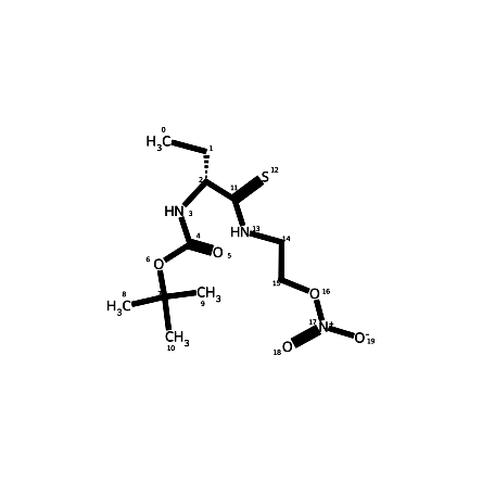 CC[C@@H](NC(=O)OC(C)(C)C)C(=S)NCCO[N+](=O)[O-]